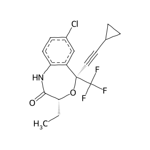 CC[C@H]1O[C@](C#CC2CC2)(C(F)(F)F)c2cc(Cl)ccc2NC1=O